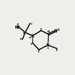 CN1CCN(C(C)(C)S)CC1=O